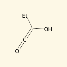 CCC(O)=C=O